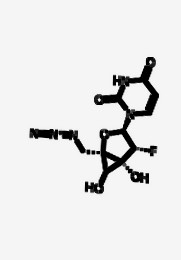 [N-]=[N+]=NC[C@]12O[C@@H](n3ccc(=O)[nH]c3=O)[C@H](F)[C@@]1(O)C2O